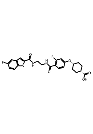 O=C(NCCNC(=O)c1ccc(O[C@H]2CC[C@@H](C(=O)O)CC2)cc1F)c1cc2cc(F)ccc2s1